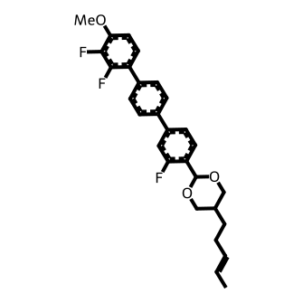 C/C=C/CCC1COC(c2ccc(-c3ccc(-c4ccc(OC)c(F)c4F)cc3)cc2F)OC1